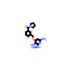 Nc1cc(OCc2cc(C(=O)N3CCCC3)ccc2F)c2c(n1)NNN2